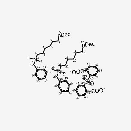 CCCCCCCCCCCCCCCC[N+](C)(C)Cc1ccccc1.CCCCCCCCCCCCCCCC[N+](C)(C)Cc1ccccc1.O=C([O-])c1ccccc1S(=O)(=O)c1ccccc1C(=O)[O-]